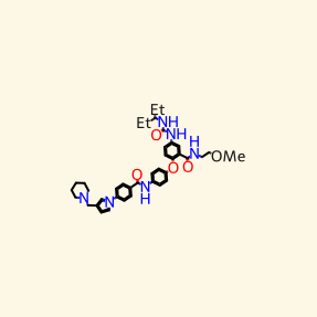 CCC(CC)NC(=O)Nc1ccc(Oc2ccc(NC(=O)c3ccc(-n4ccc(CN5CCCCC5)c4)cc3)cc2)c(C(=O)NCCOC)c1